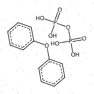 O=P(O)(O)OP(=O)(O)O.c1ccc(Oc2ccccc2)cc1